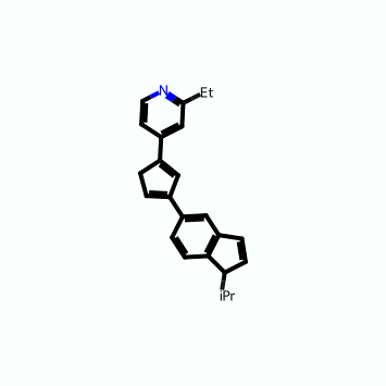 CCc1cc(C2=CC(c3ccc4c(c3)C=CC4C(C)C)=CC2)ccn1